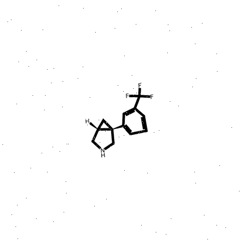 FC(F)(F)c1cccc([C@@]23CNC[C@@H]2C3)c1